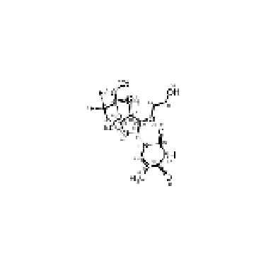 CCOP(=O)(OCC)C(F)(F)C[C@H]1O[C@@H](n2cc(C)c(=O)[nH]c2=O)[C@H](OCCO)[C@@H]1O